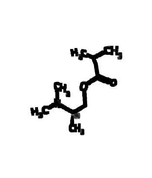 CC(C)C(=O)OC[C@H](C)N(C)C